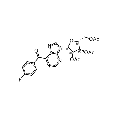 CC(=O)OC[C@H]1O[C@@H](n2cnc3c(C(=O)c4ccc(F)cc4)ncnc32)[C@H](OC(C)=O)[C@@H]1OC(C)=O